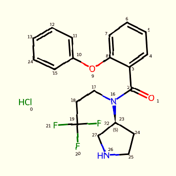 Cl.O=C(c1ccccc1Oc1ccccc1)N(CCC(F)(F)F)[C@H]1CCNC1